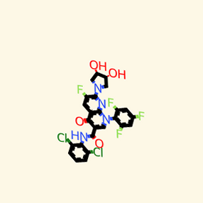 O=C(Nc1c(Cl)cccc1Cl)c1cn(-c2c(F)cc(F)cc2F)c2nc(N3C[C@@H](O)[C@H](O)C3)c(F)cc2c1=O